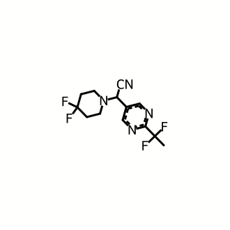 CC(F)(F)c1ncc(C(C#N)N2CCC(F)(F)CC2)cn1